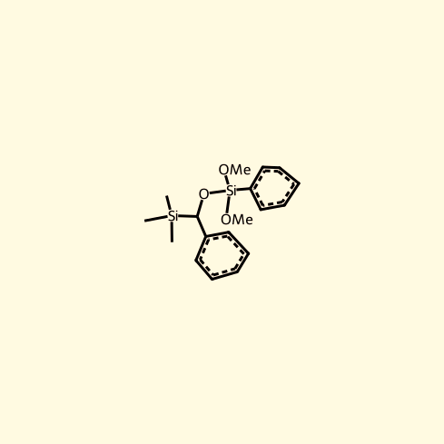 CO[Si](OC)(OC(c1ccccc1)[Si](C)(C)C)c1ccccc1